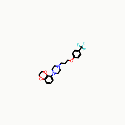 FC(F)(F)c1ccc(OCCCN2CCN(c3cccc4c3OCCO4)CC2)cc1